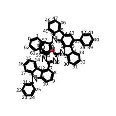 c1ccc(-c2nc(-c3cccc4c3c3ccccc3n4-c3ccccc3)nc(-n3c4ccccc4c4c(-c5ccccc5)cc5c6ccccc6n(-c6ccccc6)c5c43)n2)cc1